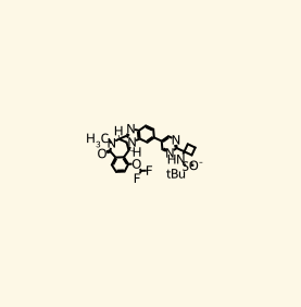 CN1C(=O)c2cccc(OC(F)F)c2[C@H]2C[C@@H]1c1nc3ccc(-c4cnc(C5(N[S+]([O-])C(C)(C)C)CCC5)nc4)cc3n12